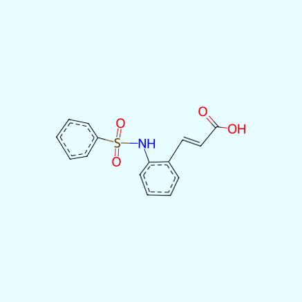 O=C(O)/C=C/c1ccccc1NS(=O)(=O)c1ccccc1